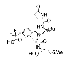 CC[C@H](C)[C@@H](CN1Cc2ccccc2C[C@H]1C(=O)NC(CCSC)C(=O)O)NC(=O)[C@@H]1CCC(=O)N1.O=C(O)C(F)(F)F